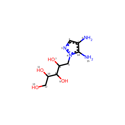 Nc1cnn(CC(O)C(O)C(O)CO)c1N